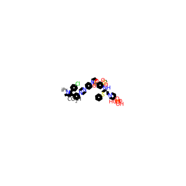 Cc1c(C(=O)O)c(-c2cccc(N3CCN(c4ccc(N5CCO[P@]5(=O)c5ccc(N[C@H](CCN6CCC(OP(=O)(O)O)CC6)CSc6ccccc6)c(S(C)(=O)=O)c5)cc4)CC3)c2)c(-c2ccc(Cl)cc2)n1C(C)C